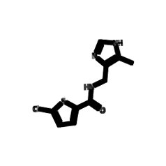 Cc1[nH]cnc1CNC(=O)c1ccc(Cl)s1